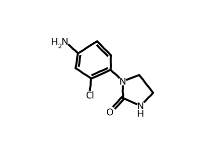 Nc1ccc(N2CCNC2=O)c(Cl)c1